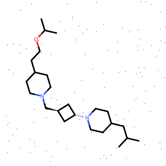 CC(C)CC1CCN([C@H]2C[C@H](CN3CCC(CCOC(C)C)CC3)C2)CC1